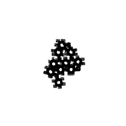 c1ccc(N(c2ccccc2)c2cccc(N(c3ccc4sc5ccccc5c4c3)c3cccc4oc5ccc(-c6ccc7c8ccccc8n(-c8ccccc8)c7c6)cc5c34)c2)cc1